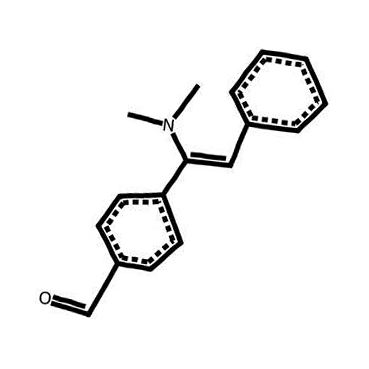 CN(C)C(=Cc1ccccc1)c1ccc(C=O)cc1